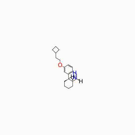 c1cc2c(cc1OCCC1CCC1)[C@@]13CCCC[C@H]1[C@@H](C2)NCC3